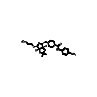 CCCCCCCCCCCCO[C@H]1O[C@H](CN2CCN(C(=O)Nc3ccc([N+](=O)[O-])cc3)CC2)[C@@H]2OC(C)(C)O[C@H]12